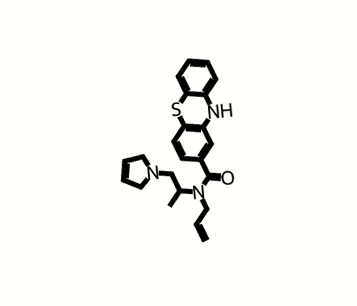 C=CCN(C(=O)c1ccc2c(c1)Nc1ccccc1S2)C(C)CN1CC=CC1